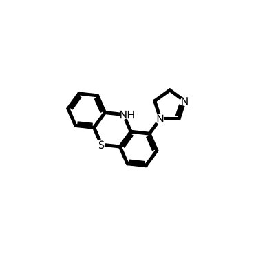 C1=NCCN1c1cccc2c1Nc1ccccc1S2